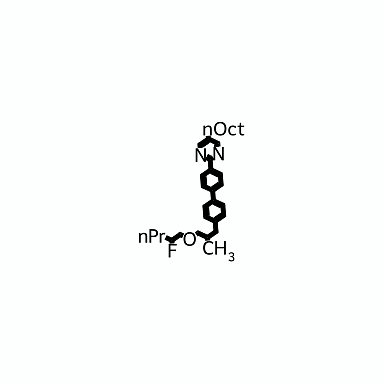 CCCCCCCCc1cnc(-c2ccc(-c3ccc(CC(C)COCC(F)CCC)cc3)cc2)nc1